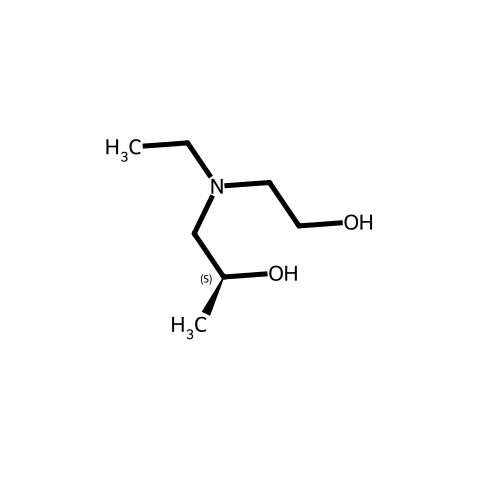 CCN(CCO)C[C@H](C)O